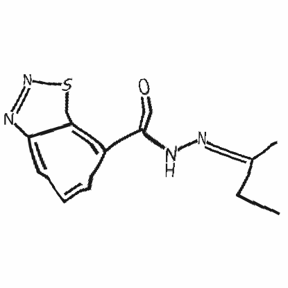 CCC(C)=NNC(=O)c1cccc2nnsc12